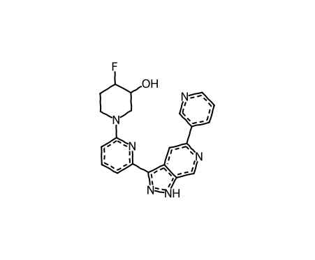 OC1CN(c2cccc(-c3n[nH]c4cnc(-c5cccnc5)cc34)n2)CCC1F